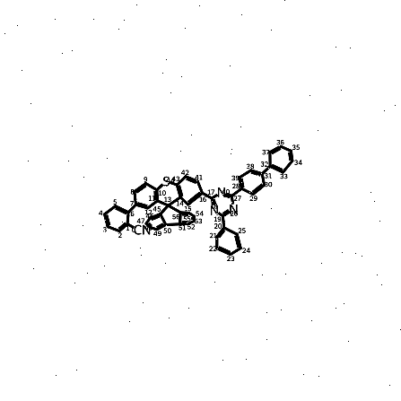 N#Cc1ccccc1-c1ccc2c(c1)C1(c3cc(-c4nc(-c5ccccc5)nc(-c5ccc(-c6ccccc6)cc5)n4)ccc3S2)c2ccccc2-c2ccccc21